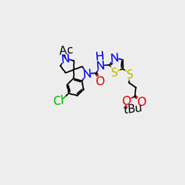 CC(=O)N1CCC2(C1)CN(C(=O)Nc1ncc(SCCC(=O)OC(C)(C)C)s1)c1ccc(Cl)cc12